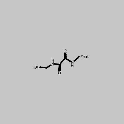 CCCCCNC(=O)C(=O)NCC(C)CC